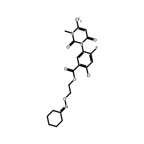 Cn1c(C(F)(F)F)cc(=O)n(-c2cc(C(=O)OCCON=C3CCCCC3)c(Cl)cc2F)c1=O